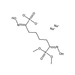 COP(=O)(OC)/C(CCCC/C(=N/O)P(=O)([O-])[O-])=N\O.[Na+].[Na+]